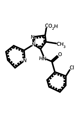 Cc1c(C(=O)O)nn(-c2ccccn2)c1NC(=O)c1ccccc1Cl